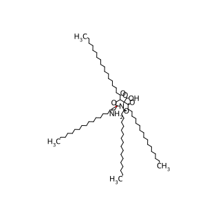 CCCCCCCCCCCCCCCCCC(=O)C(CCCN)C(C(=O)O)(C(=O)CCCCCCCCCCCCCCCCC)N(C(=O)CCCCCCCCCCCCCCCCC)C(=O)CCCCCCCCCCCCCCCCC